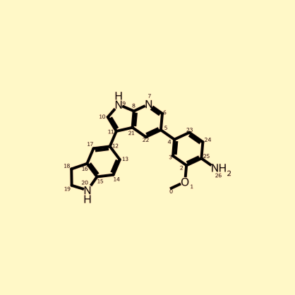 COc1cc(-c2cnc3[nH]cc(-c4ccc5c(c4)CCN5)c3c2)ccc1N